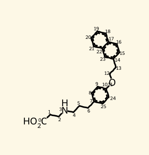 O=C(O)CCNCCCc1ccc(OCCc2ccc3ccccc3c2)cc1